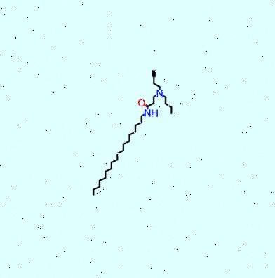 C#CCCN(CCCC)CCC(=O)NCCCCCCCCCCCCCCCCCC